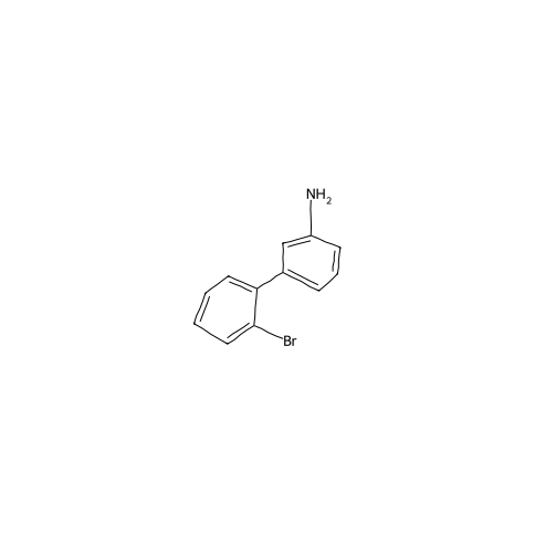 Nc1cccc(-c2ccccc2Br)c1